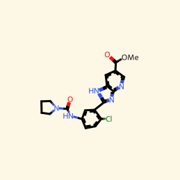 COC(=O)c1cnc2nc(-c3cc(NC(=O)N4CCCC4)ccc3Cl)[nH]c2c1